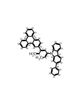 C=C/C(=C\C(=C/C)n1c2ccccc2c2ccc(-c3ccccc3)cc21)c1ccc2c3ccccc3c3ccccc3c2c1